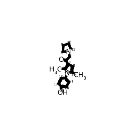 Cc1cc(C(=O)CN2CCCC2)c(C)n1-c1ccc(O)cc1